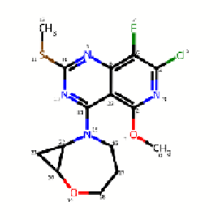 COc1nc(Cl)c(F)c2nc(SC)nc(N3CCCOC4CC43)c12